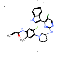 C=CC(=O)Nc1cc(F)c(N2CCC[C@@H](Nc3ncc(Cl)c(-c4c[nH]c5ccccc45)n3)C2)cc1C